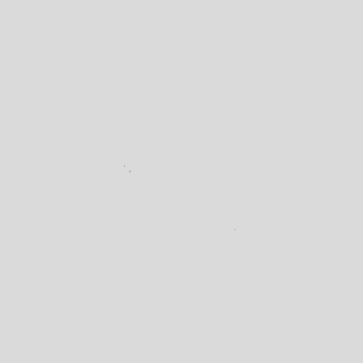 CSc1nc(C)c(OC(C)=O)s1